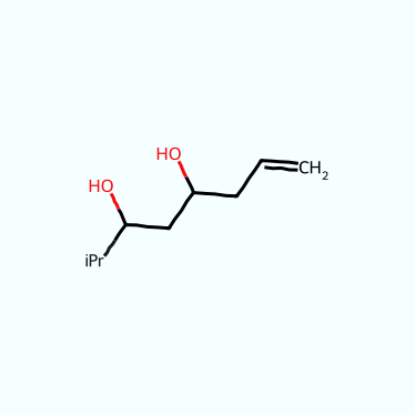 C=CCC(O)CC(O)C(C)C